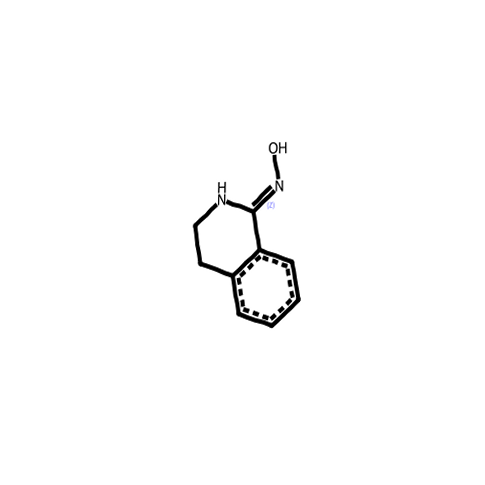 O/N=C1\NCCc2ccccc21